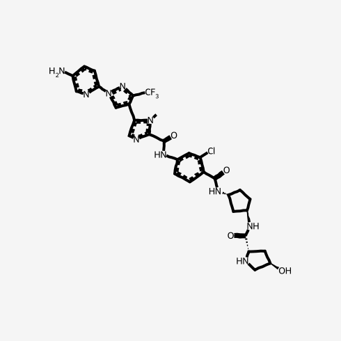 Cn1c(-c2cn(-c3ccc(N)cn3)nc2C(F)(F)F)cnc1C(=O)Nc1ccc(C(=O)N[C@@H]2CC[C@@H](NC(=O)[C@@H]3C[C@@H](O)CN3)C2)c(Cl)c1